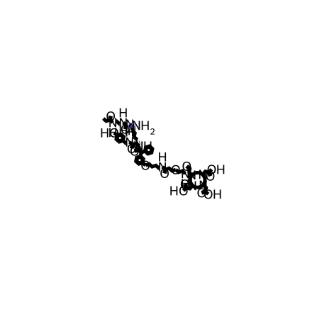 CCC(=O)NCCNC(=O)/N=C(/N)NCCC[C@@H](NC(=O)C(c1ccccc1)c1cccc(OCCCCNC(=O)CCOCCNC(C=O)N2CCN(CC(=O)O)CCN(CC(=O)O)CCN(CC(=O)O)CC2)c1)C(=O)NCc1ccc(O)cc1